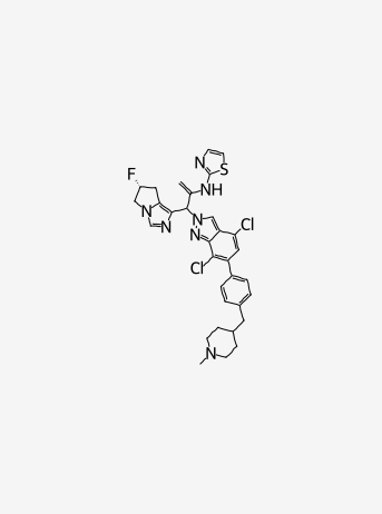 C=C(Nc1nccs1)C(c1ncn2c1C[C@@H](F)C2)n1cc2c(Cl)cc(-c3ccc(CC4CCN(C)CC4)cc3)c(Cl)c2n1